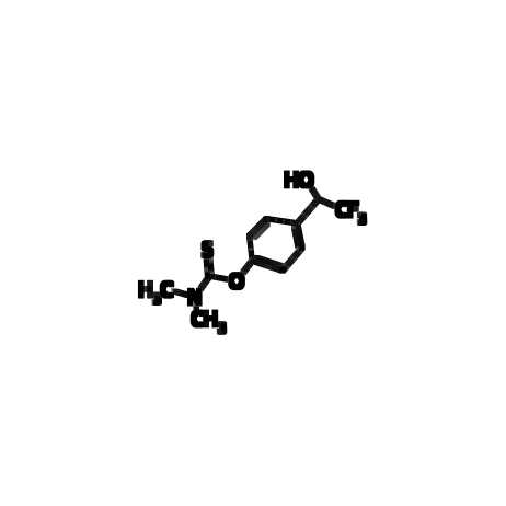 CN(C)C(=S)Oc1ccc(C(O)C(F)(F)F)cc1